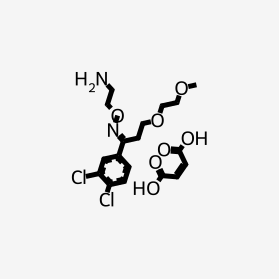 COCCOCCC(=NOCCN)c1ccc(Cl)c(Cl)c1.O=C(O)/C=C\C(=O)O